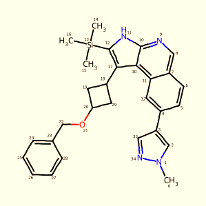 Cn1cc(-c2ccc3cnc4[nH]c([Si](C)(C)C)c(C5CC(OCc6ccccc6)C5)c4c3c2)cn1